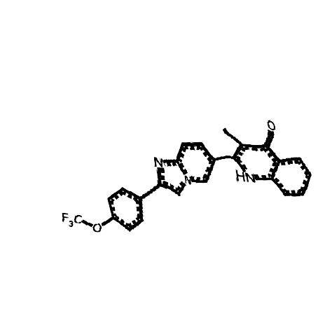 Cc1c(-c2ccc3nc(-c4ccc(OC(F)(F)F)cc4)cn3c2)[nH]c2ccccc2c1=O